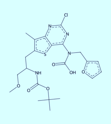 COCC(Cc1sc2c(N(Cc3ccco3)C(=O)O)nc(Cl)nc2c1C)NC(=O)OC(C)(C)C